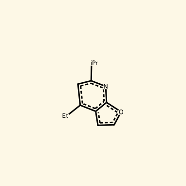 CCc1cc(C(C)C)nc2occc12